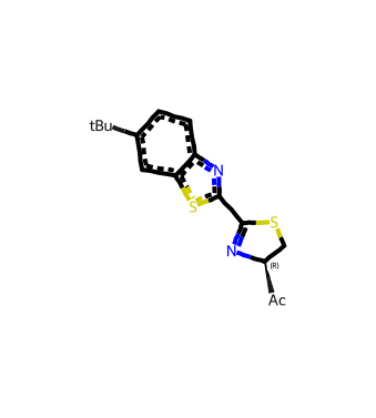 CC(=O)[C@@H]1CSC(c2nc3ccc(C(C)(C)C)cc3s2)=N1